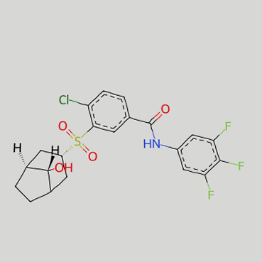 O=C(Nc1cc(F)c(F)c(F)c1)c1ccc(Cl)c(S(=O)(=O)[C@@H]2CC3CC[C@@H](C2)[C@@H]3O)c1